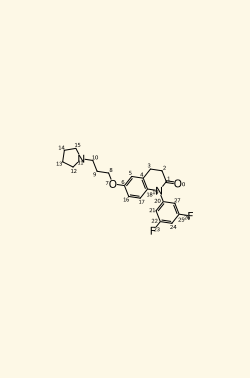 O=C1CCc2cc(OCCCN3CCCC3)ccc2N1c1cc(F)cc(F)c1